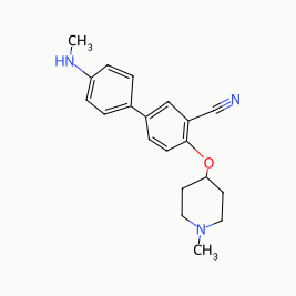 CNc1ccc(-c2ccc(OC3CCN(C)CC3)c(C#N)c2)cc1